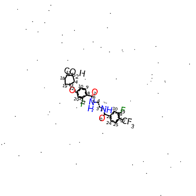 O=C(NCCNC(=O)c1ccc(O[C@H]2CC[C@@H](C(=O)O)CC2)cc1F)c1ccc(C(F)(F)F)c(F)c1